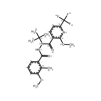 COc1cccc(C(=O)NN(C(=O)c2ccc(C(F)(F)F)nc2OC)C(C)(C)C)c1C